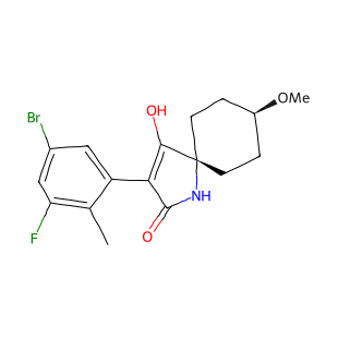 CO[C@H]1CC[C@@]2(CC1)NC(=O)C(c1cc(Br)cc(F)c1C)=C2O